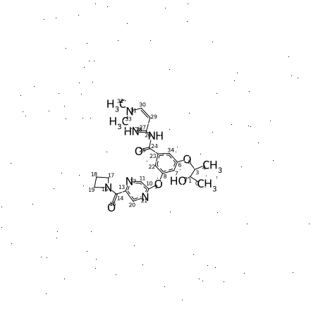 CC(O)C(C)Oc1cc(Oc2cnc(C(=O)N3CCC3)cn2)cc(C(=O)NC(=N)/C=C\N(C)C)c1